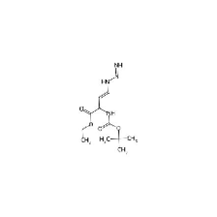 CCOC(=O)C(/C=C/NN=N)NC(=O)OC(C)(C)C